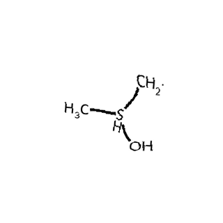 [CH2][SH](C)O